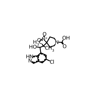 CC(C)(C(O)c1cc(Cl)cc2cn[nH]c12)C1([N+](=O)[O-])CCN(C(=O)O)CC1